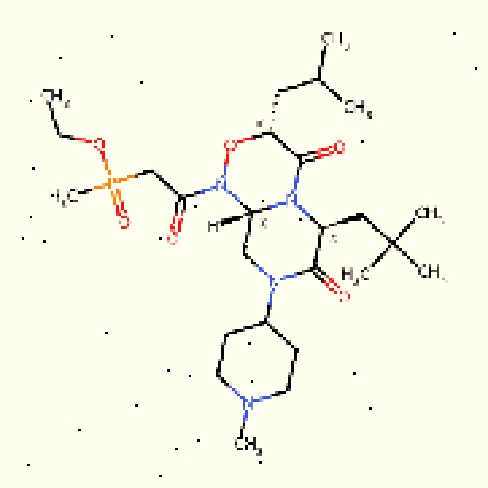 CCOP(C)(=O)CC(=O)N1O[C@H](CC(C)C)C(=O)N2[C@@H]1CN(C1CCN(C)CC1)C(=O)[C@@H]2CC(C)(C)C